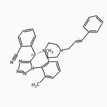 Cc1cccc(C)c1-n1nnnc1[C@H](c1ccccc1C#N)N1CCN(C/C=C/c2ccccc2)CC1